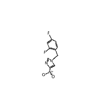 O=[N+]([O-])c1cn(Cc2ccc(F)cc2F)cn1